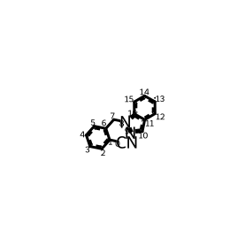 N#Cc1ccccc1Cn1ncc2c[c]ccc21